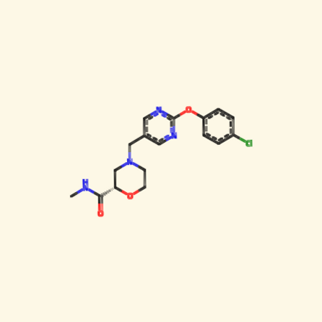 CNC(=O)[C@@H]1CN(Cc2cnc(Oc3ccc(Cl)cc3)nc2)CCO1